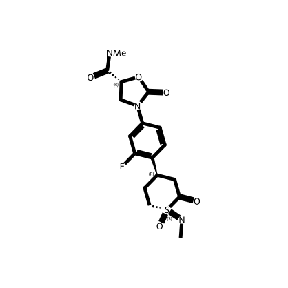 CN=[S@]1(=O)CC[C@@H](c2ccc(N3C[C@H](C(=O)NC)OC3=O)cc2F)CC1=O